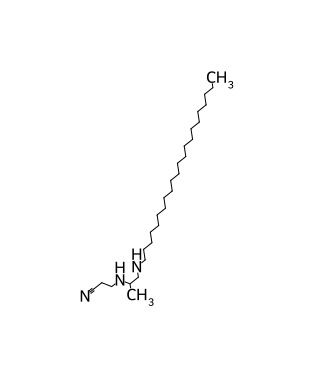 CCCCCCCCCCCCCCCCCCCCCCNCC(C)NCCC#N